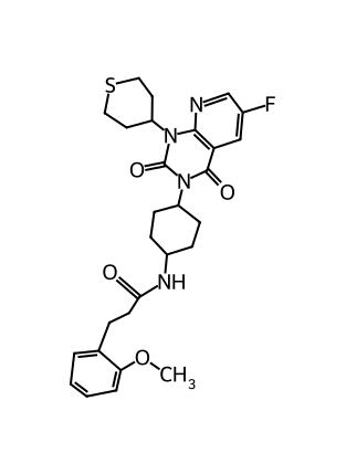 COc1ccccc1CCC(=O)NC1CCC(n2c(=O)c3cc(F)cnc3n(C3CCSCC3)c2=O)CC1